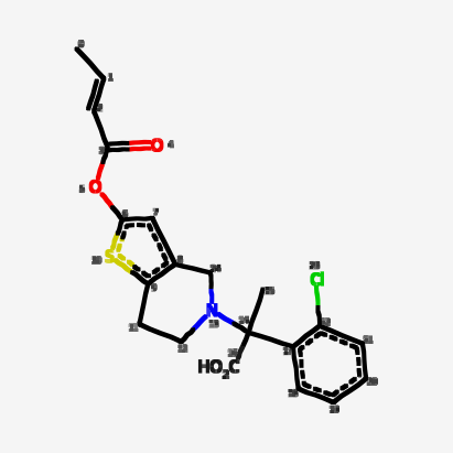 CC=CC(=O)Oc1cc2c(s1)CCN(C(C)(C(=O)O)c1ccccc1Cl)C2